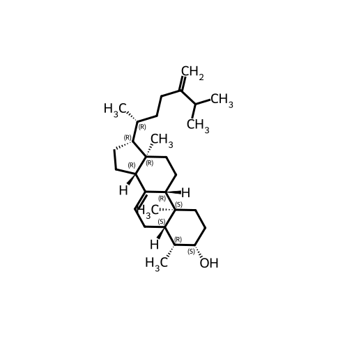 C=C(CC[C@@H](C)[C@H]1CC[C@H]2C3=CC[C@H]4[C@@H](C)[C@@H](O)CC[C@]4(C)[C@H]3CC[C@]12C)C(C)C